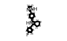 Fc1ccc(-c2[nH]c(-c3ccc(-c4ncc[nH]4)cc3)c3c2CCCC3)cc1